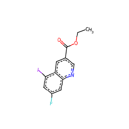 CCOC(=O)c1cnc2cc(F)cc(I)c2c1